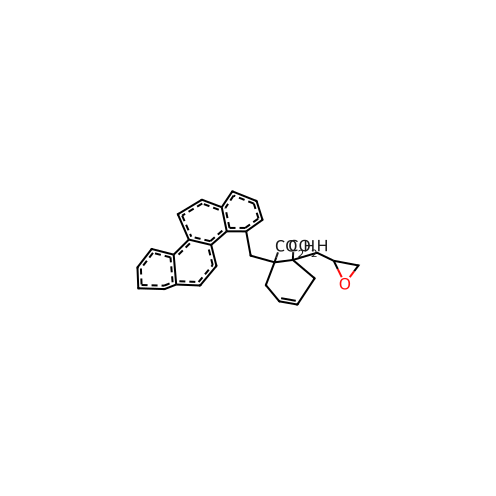 O=C(O)C1(Cc2cccc3ccc4c5ccccc5ccc4c23)CC=CCC1(CC1CO1)C(=O)O